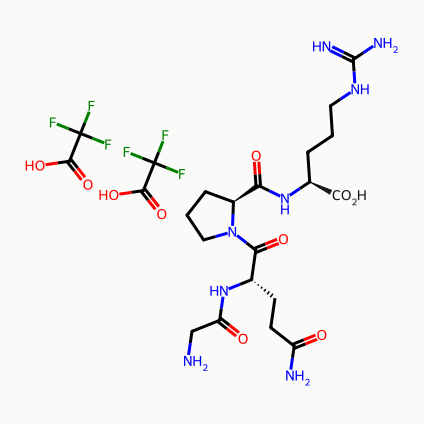 N=C(N)NCCC[C@H](NC(=O)[C@@H]1CCCN1C(=O)[C@H](CCC(N)=O)NC(=O)CN)C(=O)O.O=C(O)C(F)(F)F.O=C(O)C(F)(F)F